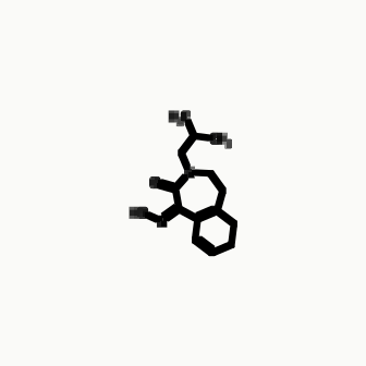 CC(C)CN1CCC2=C(C=CCC2)C(=NO)C1=O